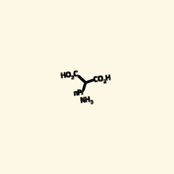 CCCC(C(=O)O)C(=O)O.N